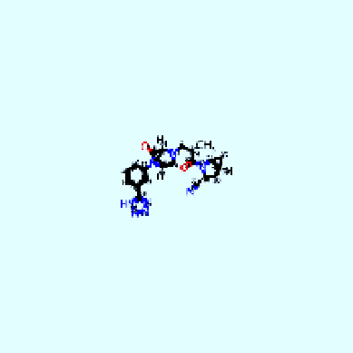 C[C@@H](CN1C[C@@H]2C[C@H]1C(=O)N2c1cccc(-c2nnn[nH]2)c1)C(=O)N1C2C[C@H]2C[C@H]1C#N